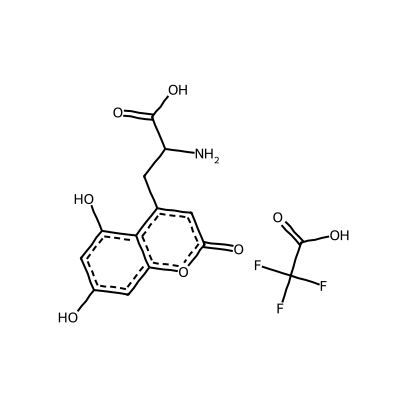 NC(Cc1cc(=O)oc2cc(O)cc(O)c12)C(=O)O.O=C(O)C(F)(F)F